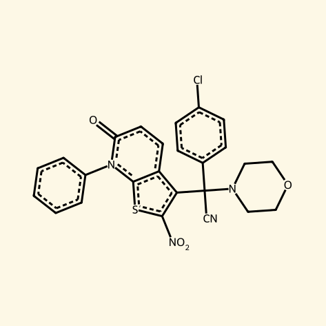 N#CC(c1ccc(Cl)cc1)(c1c([N+](=O)[O-])sc2c1ccc(=O)n2-c1ccccc1)N1CCOCC1